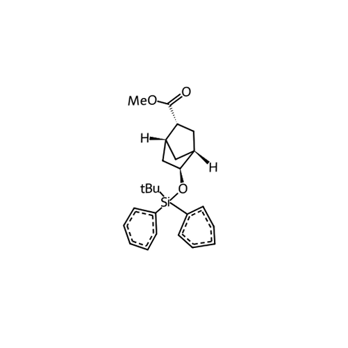 COC(=O)[C@@H]1C[C@H]2C[C@@H]1C[C@@H]2O[Si](c1ccccc1)(c1ccccc1)C(C)(C)C